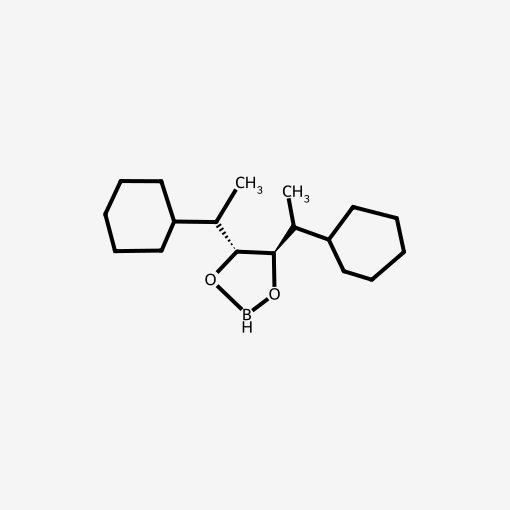 CC(C1CCCCC1)[C@H]1OBO[C@@H]1C(C)C1CCCCC1